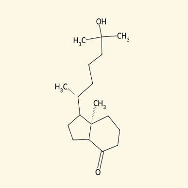 C[C@H](CCCC(C)(C)O)C1CCC2C(=O)CCC[C@@]21C